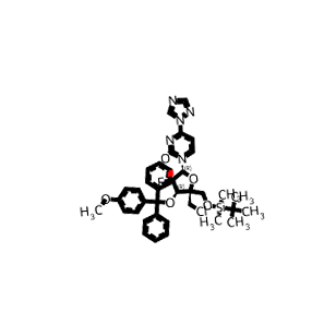 COc1ccc(C(O[C@H]2C(F)(F)[C@H](n3ccc(-n4cncn4)nc3=O)O[C@]2(CCl)CO[Si](C)(C)C(C)(C)C)(c2ccccc2)c2ccccc2)cc1